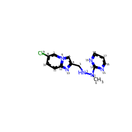 CN(NCc1cn2cc(Cl)ccc2n1)c1ncccn1